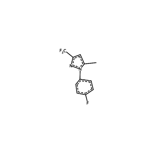 Cc1cc(C(F)(F)F)nn1-c1ccc(F)cc1